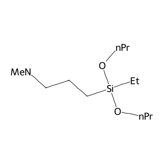 CCCO[Si](CC)(CCCNC)OCCC